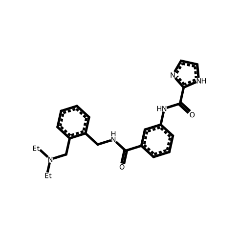 CCN(CC)Cc1ccccc1CNC(=O)c1cccc(NC(=O)c2ncc[nH]2)c1